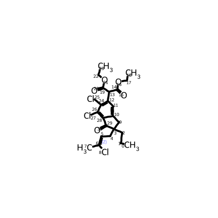 CCCC1(C/C=C(/C)Cl)Cc2cc(C(C(=O)OCC)C(=O)OCC)c(Cl)c(Cl)c2C1=O